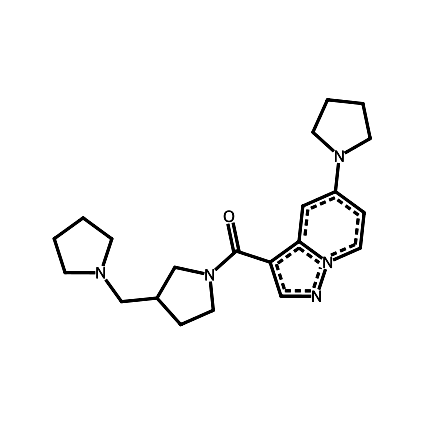 O=C(c1cnn2ccc(N3CCCC3)cc12)N1CCC(CN2CCCC2)C1